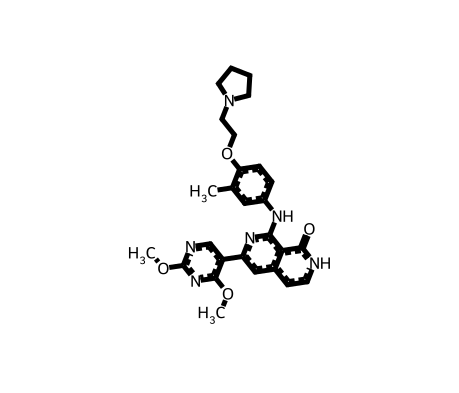 COc1ncc(-c2cc3cc[nH]c(=O)c3c(Nc3ccc(OCCN4CCCC4)c(C)c3)n2)c(OC)n1